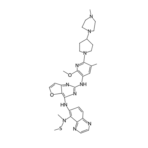 COc1nc(N2CCC(N3CCN(C)CC3)CC2)c(C)cc1Nc1nc(Nc2ccc3nccnc3c2N(C)SC)c2occc2n1